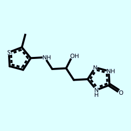 Cc1sccc1NCC(O)Cc1n[nH]c(=O)[nH]1